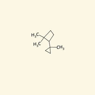 CC1(C)CCC1C1(C)CC1